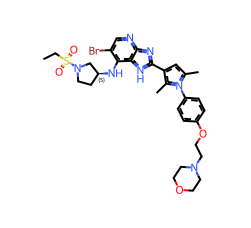 CCS(=O)(=O)N1CC[C@H](Nc2c(Br)cnc3nc(-c4cc(C)n(-c5ccc(OCCN6CCOCC6)cc5)c4C)[nH]c23)C1